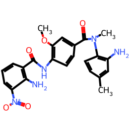 COc1cc(C(=O)N(C)c2ccc(C)cc2N)ccc1NC(=O)c1cccc([N+](=O)[O-])c1N